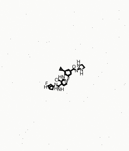 N=C(NC12CC(C1)[C@@H](F)C2)c1ccnc(Nc2c(F)cc(C(=O)N=C3NCCN3)cc2C2CC2)c1Cl